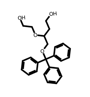 OCCOC(CCO)COC(c1ccccc1)(c1ccccc1)c1ccccc1